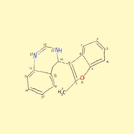 Cc1oc2ccccc2c1C1NC=Nc2ccccc21